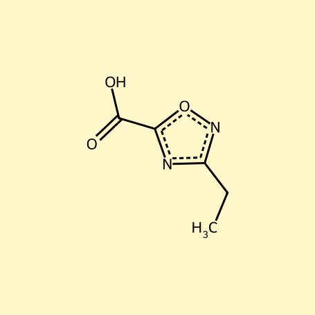 CCc1noc(C(=O)O)n1